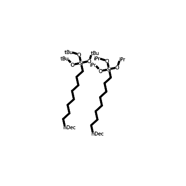 CCCCCCCCCCCCCCCCCC[Si](OC(C)(C)C)(OC(C)(C)C)OC(C)(C)C.CCCCCCCCCCCCCCCCCC[Si](OC(C)C)(OC(C)C)OC(C)C